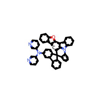 c1cncc(N(c2cccnc2)c2ccc3c(c2)-c2ccccc2C32c3ccccc3-n3c4ccccc4c4c5oc6ccccc6c5cc2c43)c1